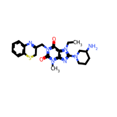 CCn1c(N2CCCC(N)C2)nc2c1c(=O)n(CC1=Nc3ccccc3SC1)c(=O)n2C